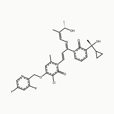 C/C(=C/N=C(\C=C\n1c(C)cc(OCc2ncc(F)cc2F)c(Cl)c1=O)n1cccc([C@](C)(O)C2CC2)c1=O)[C@H](C)O